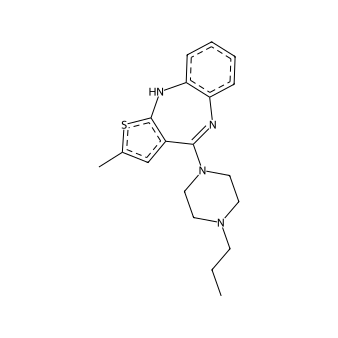 CCCN1CCN(C2=Nc3ccccc3Nc3sc(C)cc32)CC1